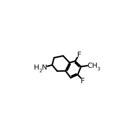 Cc1c(F)cc2c(c1F)CCC(N)C2